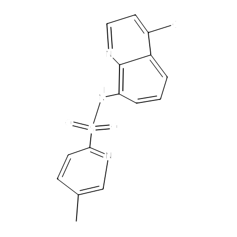 Cc1ccc(S(=O)(=O)Nc2cccc3c(Cl)ccnc23)nc1